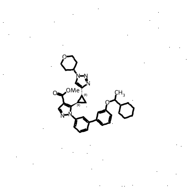 COC(=O)c1cnn(-c2cccc(-c3cccc(OC(C)C4CCCCC4)c3)c2)c1[C@@H]1C[C@H]1c1cn(C2CCOCC2)nn1